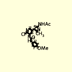 COc1ccc(CC(=O)Nc2cc(-c3sc(NC(C)=O)nc3C)cnc2Cl)cc1